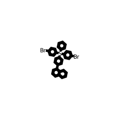 Brc1ccc(S(c2ccccc2)(c2ccc(Br)cc2)c2ccc(-c3cccc4ccccc34)cc2)cc1